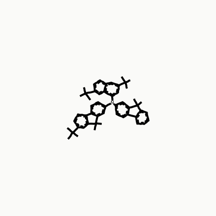 CC(C)(C)c1ccc2c(c1)C(C)(C)c1cc(N(c3ccc4c(c3)C(C)(C)c3ccccc3-4)c3cc(C(C)(C)C)cc4ccc(C(C)(C)C)cc34)ccc1-2